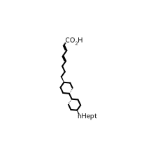 CCCCCCC[C@H]1CC[C@H]([C@H]2CC[C@H](CCC/C=C/C=C/C(=O)O)CC2)CC1